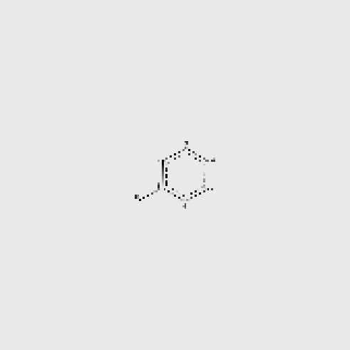 Cc1cc[c]cc1